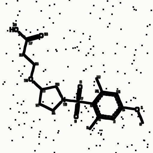 COc1cc(C)c(S(=O)(=O)N2CCC(OCCC(=O)O)C2)c(C)c1